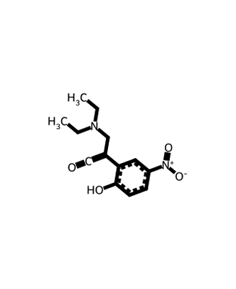 CCN(CC)CC(=C=O)c1cc([N+](=O)[O-])ccc1O